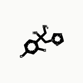 NCC(O)(Cn1cncn1)c1ccc(Cl)cc1Cl